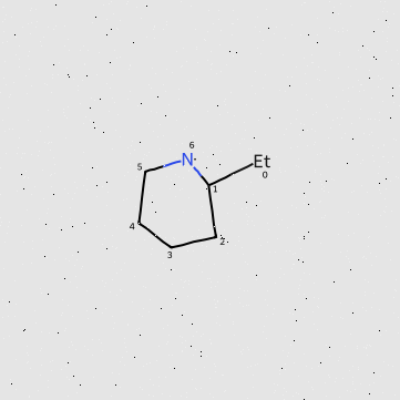 CCC1CCCC[N]1